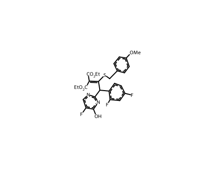 CCOC(=O)C(C(=O)OCC)=C(SCc1ccc(OC)cc1)C(c1ncc(F)c(O)n1)c1ccc(F)cc1F